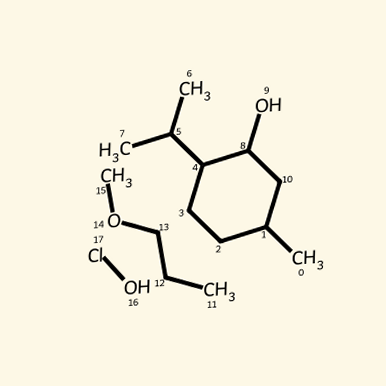 CC1CCC(C(C)C)C(O)C1.CCCOC.OCl